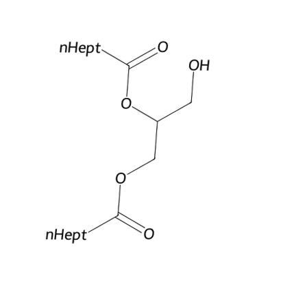 CCCCCCCC(=O)OCC(CO)OC(=O)CCCCCCC